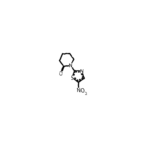 O=C1CCCCN1c1ncc([N+](=O)[O-])s1